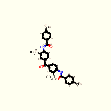 CCCCc1ccc(C(=O)Nc2ccc(C(O)c3ccc(NC(=O)c4ccc(CCCC)cc4)c(C(=O)O)c3)cc2C(=O)O)cc1